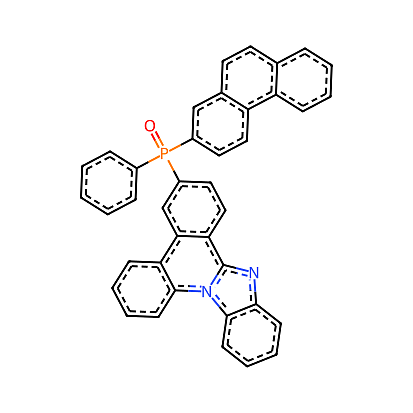 O=P(c1ccccc1)(c1ccc2c(ccc3ccccc32)c1)c1ccc2c(c1)c1ccccc1n1c3ccccc3nc21